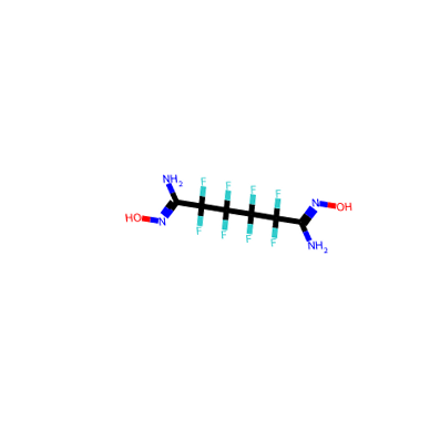 NC(=NO)C(F)(F)C(F)(F)C(F)(F)C(F)(F)C(N)=NO